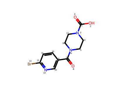 O=C(O)N1CCN(C(=O)c2ccc(Br)nc2)CC1